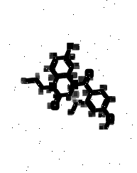 C=CCN1C(=O)[C@@H](CC)N(C(=O)c2ccc(OC)cc2)c2cc(F)ccc21